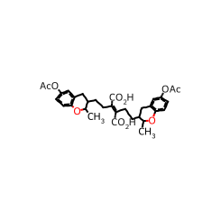 CC(=O)Oc1ccc2c(c1)CC(CC/C(C(=O)O)=C(/CCC1Cc3cc(OC(C)=O)ccc3OC1C)C(=O)O)C(C)O2